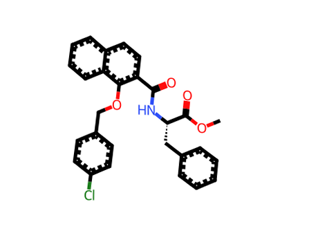 COC(=O)[C@H](Cc1ccccc1)NC(=O)c1ccc2ccccc2c1OCc1ccc(Cl)cc1